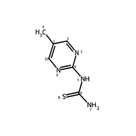 Cc1cnc(NC(N)=S)nc1